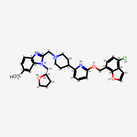 O=C(O)c1ccc2nc(CN3CCC(c4cccc(OCc5ccc(Cl)c6ccoc56)n4)CC3)n(C[C@@H]3CCCO3)c2c1